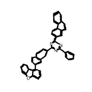 C1=CC(c2nc(-c3ccccc3)nc(-c3ccc4c(ccc5ccccc54)c3)n2)Cc2cc(-c3cccc4oc5ccccc5c34)ccc21